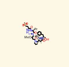 CC[C@H](C)[C@@H]([C@@H](CC(=O)N1CCC[C@H]1[C@H](OC)[C@@H](C)C(=O)N[C@H](CO)Cc1ccccc1)OC)N(C)C(=O)[C@@H](NC(=O)[C@@H](N)CCS(C)(=O)=O)C(C)C